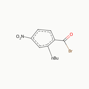 CCCCc1cc([N+](=O)[O-])ccc1C(=O)Br